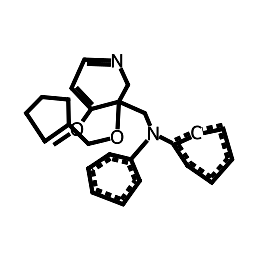 COC1=CC=NCC1(CN(c1ccccc1)c1ccccc1)OCC1CCCC1